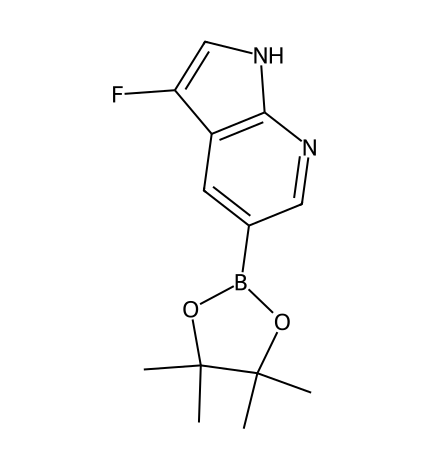 CC1(C)OB(c2cnc3[nH]cc(F)c3c2)OC1(C)C